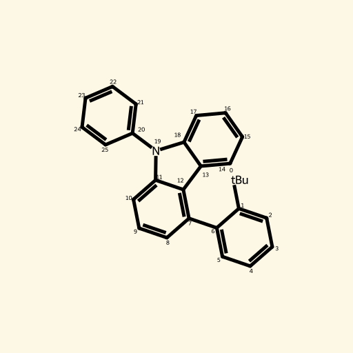 CC(C)(C)c1ccccc1-c1cccc2c1c1ccccc1n2-c1ccccc1